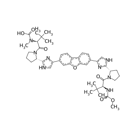 COC(=O)N[C@H](C(=O)N1CCC[C@H]1c1nc(-c2ccc3c(c2)oc2cc(-c4c[nH]c([C@@H]5CCCN5C(=O)[C@@H](N(C)C(=O)O)C(C)(C)C)n4)ccc23)c[nH]1)C(C)(C)C